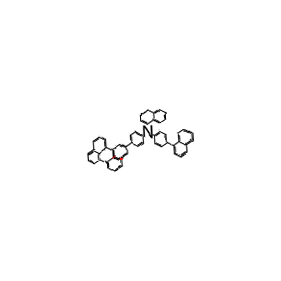 c1ccc(-c2cccc3cccc(-c4cccc(-c5ccc(N(c6ccc(-c7cccc8ccccc78)cc6)c6cccc7ccccc67)cc5)c4)c23)cc1